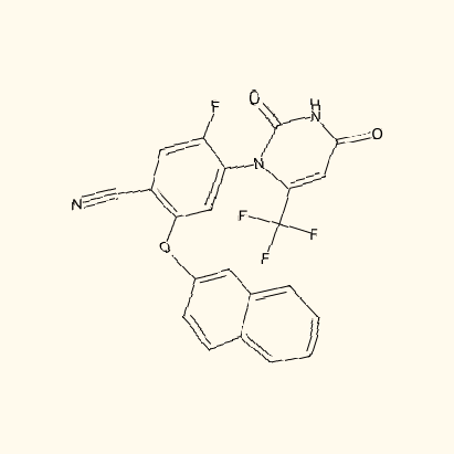 N#Cc1cc(F)c(-n2c(C(F)(F)F)cc(=O)[nH]c2=O)cc1Oc1ccc2ccccc2c1